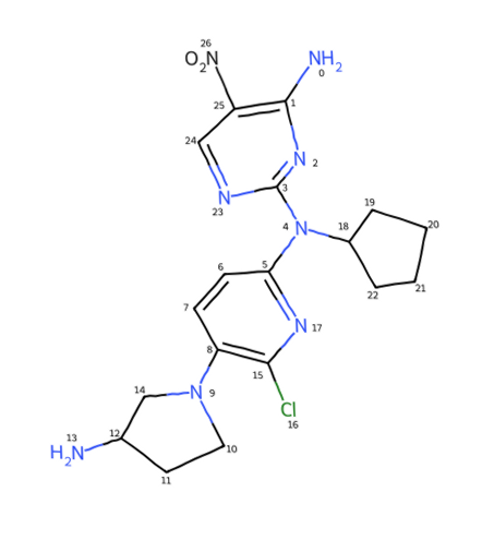 Nc1nc(N(c2ccc(N3CCC(N)C3)c(Cl)n2)C2CCCC2)ncc1[N+](=O)[O-]